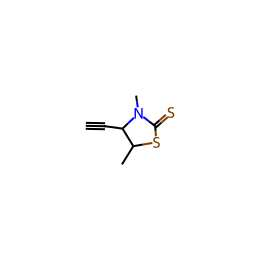 C#CC1C(C)SC(=S)N1C